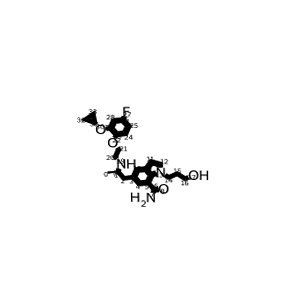 C[C@H](Cc1cc(C(N)=O)c2c(ccn2CCCO)c1)NCCOc1ccc(F)cc1OC1CC1